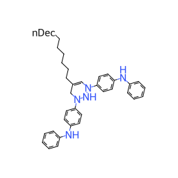 CCCCCCCCCCCCCCCCC1=CN(c2ccc(Nc3ccccc3)cc2)NN(c2ccc(Nc3ccccc3)cc2)C1